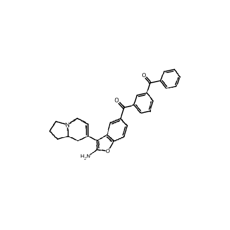 Nc1oc2ccc(C(=O)c3cccc(C(=O)c4ccccc4)c3)cc2c1C1=CCN2CCCC2C1